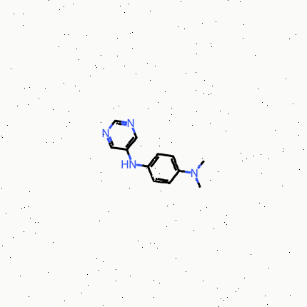 CN(C)c1ccc(Nc2cncnc2)cc1